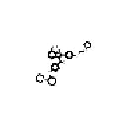 O=C(c1ccc(O[C@H]2CCCC[C@@H]2N2CCCCC2)cc1)c1c(-c2ccc(OCCN3CCCC3)cc2)sc2c(O)cccc12